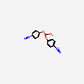 N#[N+]c1ccc(OB(OF)Oc2ccc([N+]#N)cc2)cc1